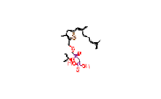 CC(C)=CCCC(C)=Cc1cc(C)c(COCP(=O)(CP(=O)(O)O)OC(C)C)s1